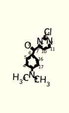 CN(C)c1ccc(C(=O)c2ccnc(Cl)n2)cc1